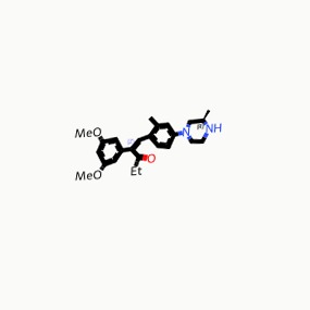 CCC(=O)/C(=C\c1ccc(N2CCN[C@H](C)C2)cc1C)c1cc(OC)cc(OC)c1